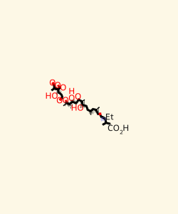 CC/C(=C\CC[C@H](C)C[C@@H](C)CC[C@H](O)[C@H](C)C(=O)C[C@@H](O)[C@H](C)[C@@H](C)OC(=O)C[C@@H](O)C1=C(C)C(=O)OC1=O)C(C)CC(=O)O